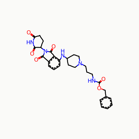 O=C1CCC(N2C(=O)c3cccc(NC4CCN(CCCNC(=O)OCc5ccccc5)CC4)c3C2=O)C(=O)N1